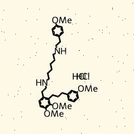 COc1ccc(CCNCCCCCCNCCc2ccc(OC)c(OC)c2CCCc2cccc(OC)c2)cc1.Cl.Cl